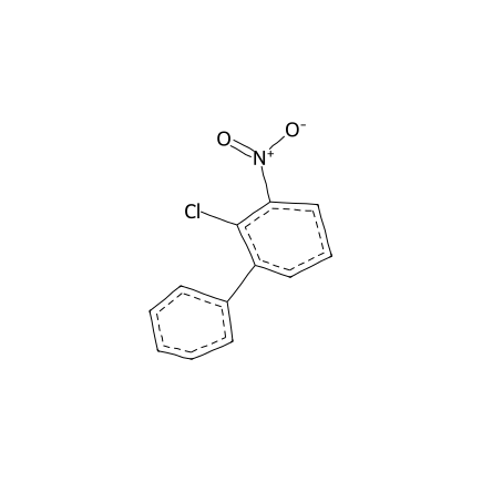 O=[N+]([O-])c1cccc(-c2ccccc2)c1Cl